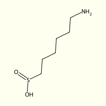 NCCCCCCS(=O)O